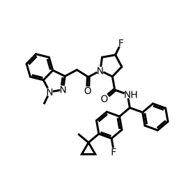 Cn1nc(CC(=O)N2CC(F)CC2C(=O)NC(c2ccccc2)c2ccc(C3(C)CC3)c(F)c2)c2ccccc21